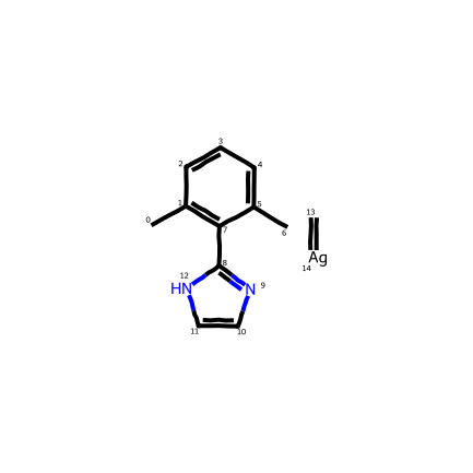 Cc1cccc(C)c1-c1ncc[nH]1.[CH2]=[Ag]